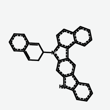 C1=c2ccccc2=CC(n2c3cc4[nH]c5ccccc5c4cc3c3c4ccccc4ccc32)C1